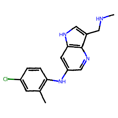 CNCc1c[nH]c2cc(Nc3ccc(Cl)cc3C)cnc12